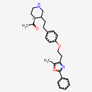 CC(=O)[C@H]1CCNCC1CCc1ccc(OCCc2nc(-c3ccccc3)oc2C)cc1